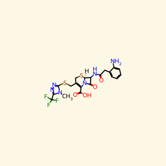 Cn1c(SCC2=C(C(=O)O)N3C(=O)C(NC(=O)Cc4ccccc4N)[C@@H]3SC2)nnc1C(F)(F)F